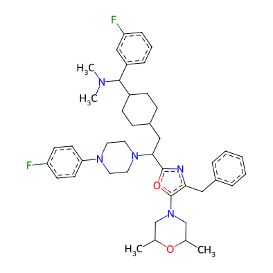 CC1CN(c2oc(C(CC3CCC(C(c4cccc(F)c4)N(C)C)CC3)N3CCN(c4ccc(F)cc4)CC3)nc2Cc2ccccc2)CC(C)O1